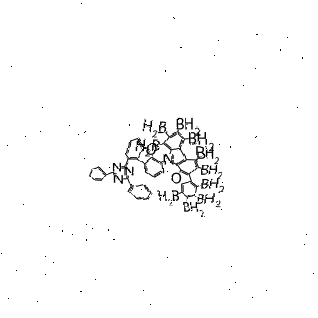 Bc1c(B)c(B)c2c(oc3c2c(B)c(B)c2c4c(B)c(B)c(B)c(B)c4n(-c4cccc5c4oc4cccc(-c6nc(-c7ccccc7)nc(-c7ccccc7)n6)c45)c32)c1B